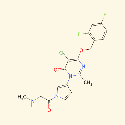 CNCC(=O)n1ccc(-n2c(C)nc(OCc3ccc(F)cc3F)c(Cl)c2=O)c1